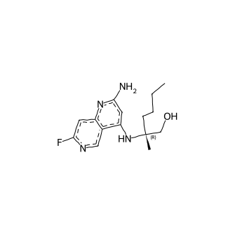 CCCC[C@](C)(CO)Nc1cc(N)nc2cc(F)ncc12